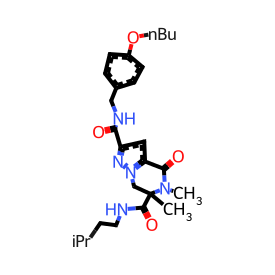 CCCCOc1ccc(CNC(=O)c2cc3n(n2)CC(C)(C(=O)NCCC(C)C)N(C)C3=O)cc1